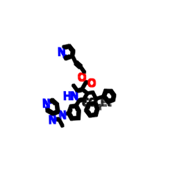 CCOC(=O)C1=C(c2cccc(-n3c(C)nc4cnccc43)c2)NC(C)=C(C(=O)OCC#Cc2cccnc2)C1CC(c1ccccc1)c1ccccc1